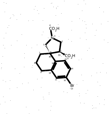 O=C(O)[C@@H]1CN(C(=O)O)C[C@]12CCCc1cc(Br)ccc12